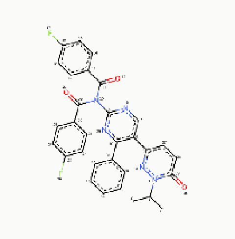 CC(C)n1nc(-c2cnc(N(C(=O)c3ccc(F)cc3)C(=O)c3ccc(F)cc3)nc2-c2ccccc2)ccc1=O